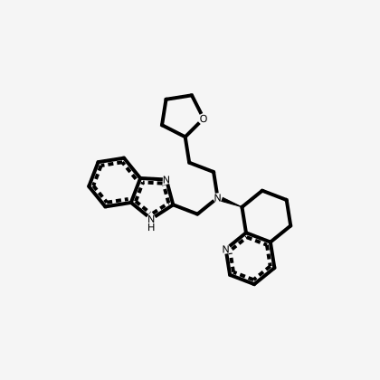 c1cnc2c(c1)CCC[C@@H]2N(CCC1CCCO1)Cc1nc2ccccc2[nH]1